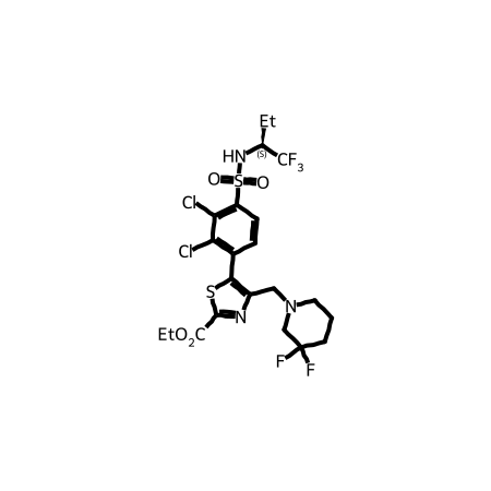 CCOC(=O)c1nc(CN2CCCC(F)(F)C2)c(-c2ccc(S(=O)(=O)N[C@@H](CC)C(F)(F)F)c(Cl)c2Cl)s1